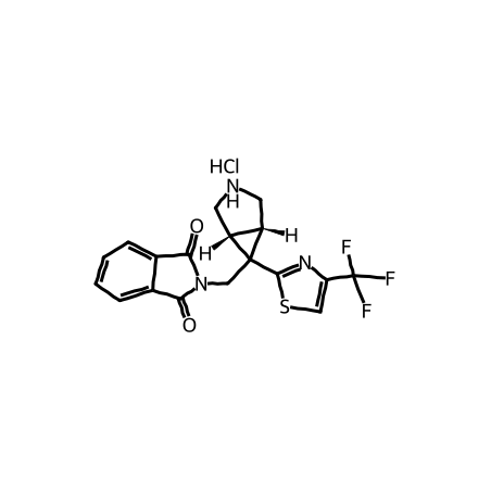 Cl.O=C1c2ccccc2C(=O)N1CC1(c2nc(C(F)(F)F)cs2)[C@@H]2CNC[C@@H]21